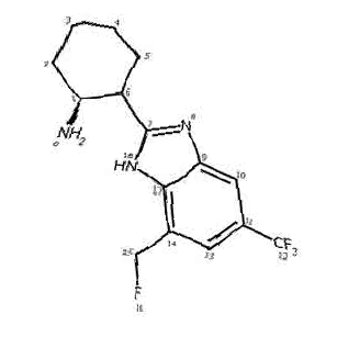 N[C@H]1CCCCC1c1nc2cc(C(F)(F)F)cc(CF)c2[nH]1